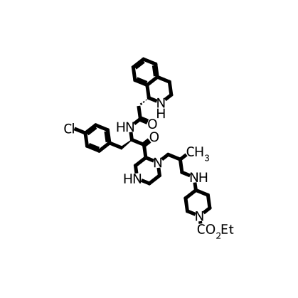 CCOC(=O)N1CCC(NCC(C)CN2CCNCC2C(=O)[C@@H](Cc2ccc(Cl)cc2)NC(=O)C[C@H]2NCCc3ccccc32)CC1